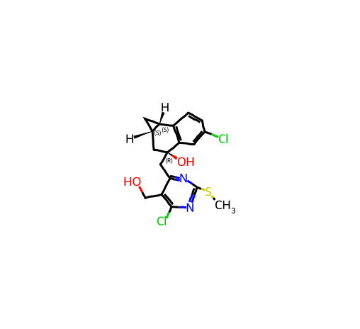 CSc1nc(Cl)c(CO)c(C[C@]2(O)C[C@@H]3C[C@@H]3c3ccc(Cl)cc32)n1